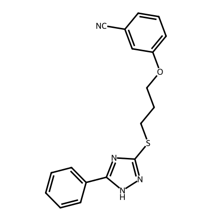 N#Cc1cccc(OCCCSc2n[nH]c(-c3ccccc3)n2)c1